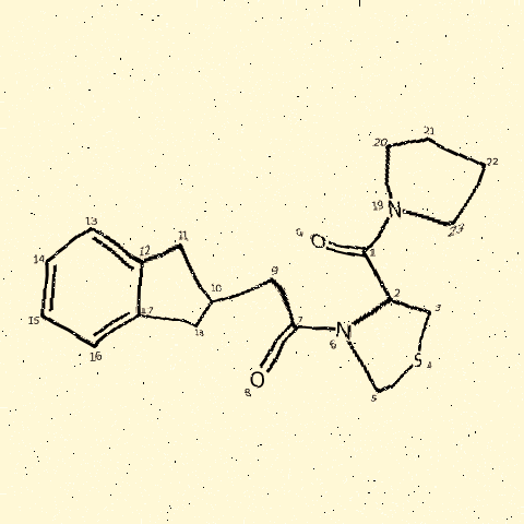 O=C(C1CSCN1C(=O)CC1Cc2ccccc2C1)N1CCCC1